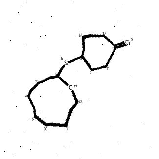 O=C1CCC(SC2CCCCCCC2)CC1